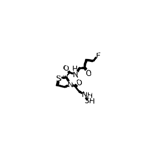 O=C(CCF)CNC(=O)[C@@H]1SCCN1C(=O)CNS